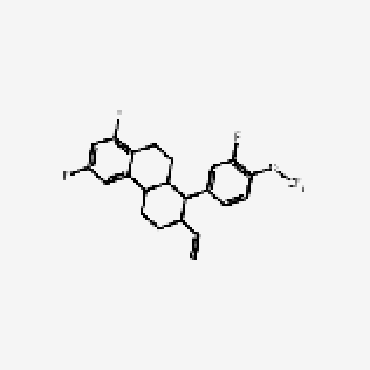 C=CC1CCC2c3cc(F)cc(F)c3CCC2C1c1ccc(OC(F)(F)F)c(F)c1